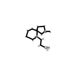 CN1CCC2(CCCCN2CCO)C1